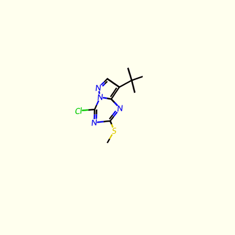 CSc1nc(Cl)n2ncc(C(C)(C)C)c2n1